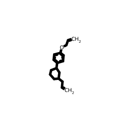 C=CCOc1ccc(C2CC[CH]C(CC=C)C2)cc1